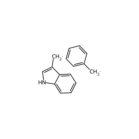 [CH2]c1c[nH]c2ccccc12.[CH2]c1ccccc1